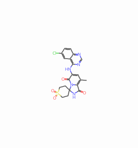 Cc1cc(Nc2ncnc3ccc(Cl)cc23)c(=O)n2c1C(=O)NC21CCS(=O)(=O)CC1